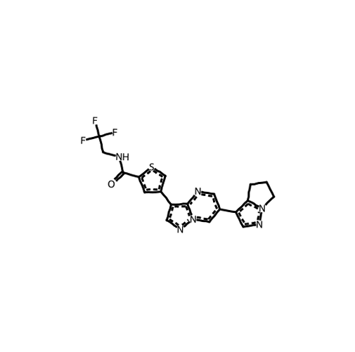 O=C(NCC(F)(F)F)c1cc(-c2cnn3cc(-c4cnn5c4CCC5)cnc23)cs1